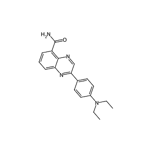 CCN(CC)c1ccc(-c2cnc3c(C(N)=O)cccc3n2)cc1